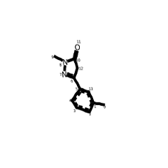 Cc1cccc(C2=NN(C)C(=O)C2)c1